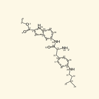 CCOC(=O)c1cc2cc(NC(=O)C(N)Cc3ccc(NCCC(C)C)cc3)ccc2[nH]1